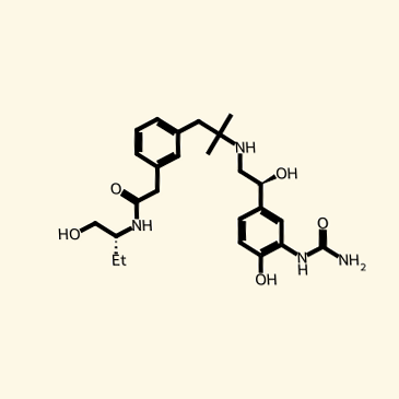 CC[C@H](CO)NC(=O)Cc1cccc(CC(C)(C)NC[C@@H](O)c2ccc(O)c(NC(N)=O)c2)c1